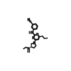 CCCc1cc(N2CC[C@H](NCC)C2)nc(Nc2cccc(C#N)c2)n1